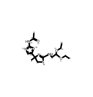 CCOC(CNC1=NC(C)(c2cnc(NC(C)=O)s2)CS1)OCC